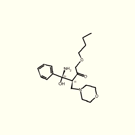 CCCCOCC(=O)[C@@H](CN1CCOCC1)[C@](N)(O)c1ccccc1